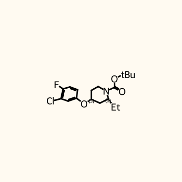 CC[C@H]1C[C@@H](Oc2ccc(F)c(Cl)c2)CCN1C(=O)OC(C)(C)C